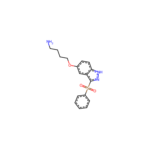 NCCCCOc1ccc2[nH]nc(S(=O)(=O)c3ccccc3)c2c1